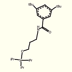 CC(C)[Si](OCCCNC(=O)c1cc(C(C)(C)C)cc(C(C)(C)C)c1)(C(C)C)C(C)C